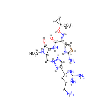 N=C(N)NC(CCCN)c1cnn(C[C@@H]2[C@H](NC(=O)/C(=N\OC3(C(=O)O)CC3)c3csc(N)n3)C(=O)N2S(=O)(=O)O)n1